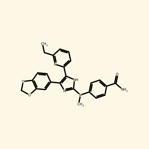 CCc1cccc(-c2[nH]c(N(C)c3ccc(C(N)=O)cc3)nc2-c2ccc3c(c2)OCO3)n1